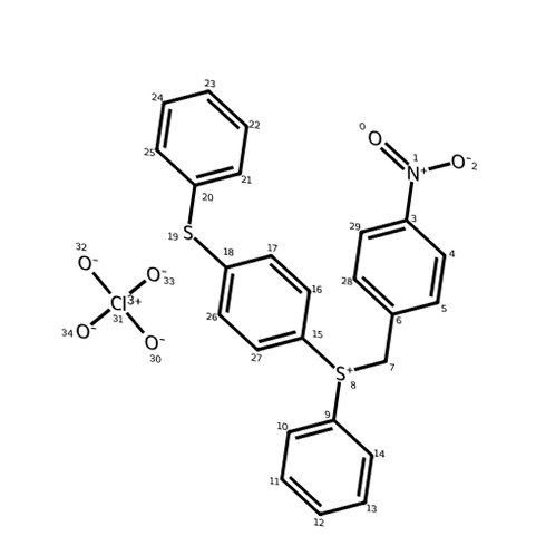 O=[N+]([O-])c1ccc(C[S+](c2ccccc2)c2ccc(Sc3ccccc3)cc2)cc1.[O-][Cl+3]([O-])([O-])[O-]